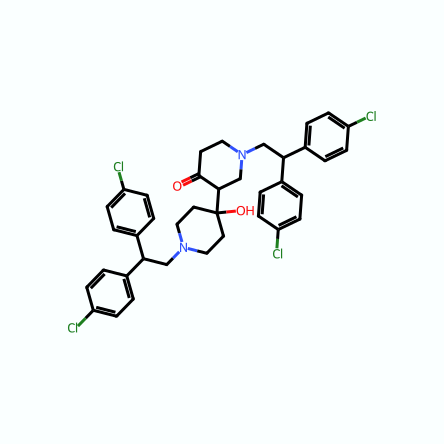 O=C1CCN(CC(c2ccc(Cl)cc2)c2ccc(Cl)cc2)CC1C1(O)CCN(CC(c2ccc(Cl)cc2)c2ccc(Cl)cc2)CC1